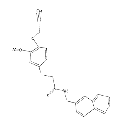 C#CCOc1ccc(CCC(=S)NCc2ccc3ccccc3c2)cc1OC